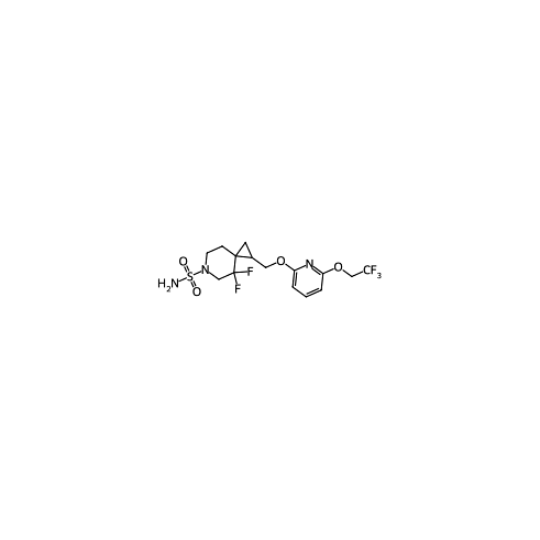 NS(=O)(=O)N1CCC2(CC2COc2cccc(OCC(F)(F)F)n2)C(F)(F)C1